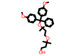 COc1ccc(C(OC(C)(C)CCOC(C)(C)CCO)(c2ccccc2)c2ccc(OC)cc2)cc1